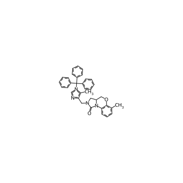 Cc1cccc2c1OCC1CN(Cc3ncn(C(c4ccccc4)(c4ccccc4)c4ccccc4)c3C)C(=O)N21